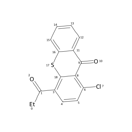 CCC(=O)c1ccc(Cl)c2c(=O)c3ccccc3sc12